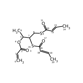 C=CC(=O)OC(C)C(CSC(=O)C=CC)SC(=O)C=CC